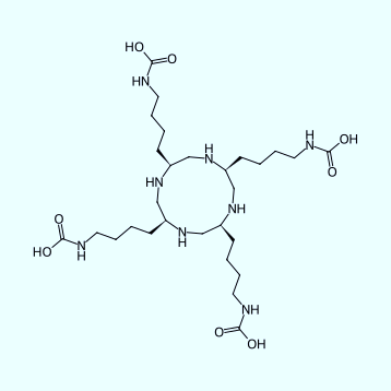 O=C(O)NCCCC[C@H]1CN[C@@H](CCCCNC(=O)O)CN[C@@H](CCCCNC(=O)O)CN[C@@H](CCCCNC(=O)O)CN1